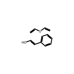 C=COC=C.OC=Cc1ccccc1